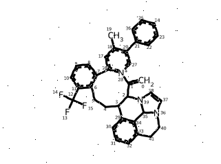 C=C1C2C(CCc3c(cccc3C(F)(F)F)-c3cc(C)c(-c4ccccc4)c[n+]31)c1cccc3c1C1N(C=CN21)CC3